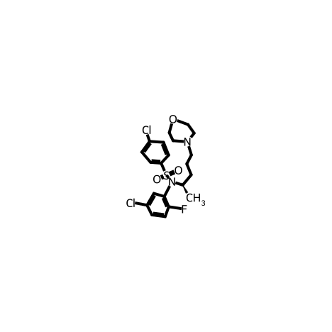 C[C@H](CCCN1CCOCC1)N(c1cc(Cl)ccc1F)S(=O)(=O)c1ccc(Cl)cc1